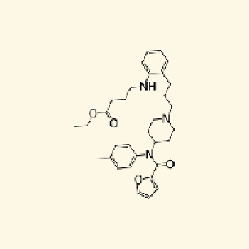 CCOC(=O)CCCNc1ccccc1CCCN1CCC(N(C(=O)c2ccco2)c2ccc(C)cc2)CC1